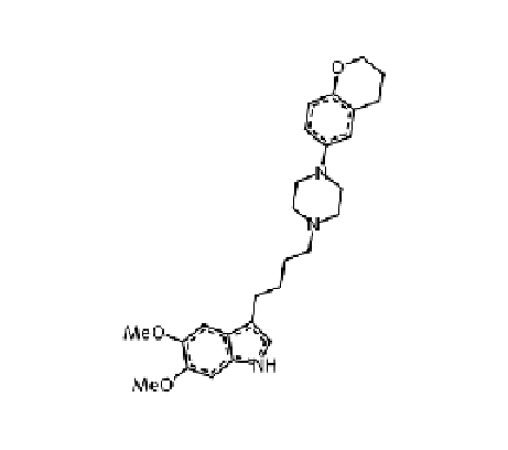 COc1cc2[nH]cc(CCCCN3CCN(c4ccc5c(c4)CCCO5)CC3)c2cc1OC